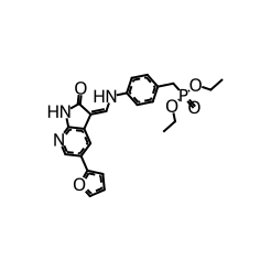 CCOP(=O)(Cc1ccc(N/C=C2\C(=O)Nc3ncc(-c4ccco4)cc32)cc1)OCC